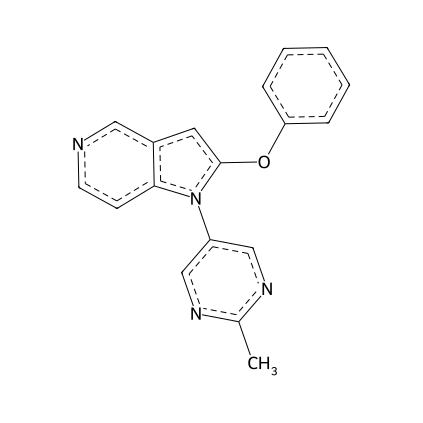 Cc1ncc(-n2c(Oc3ccccc3)cc3cnccc32)cn1